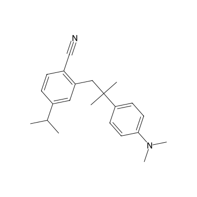 CC(C)c1ccc(C#N)c(CC(C)(C)c2ccc(N(C)C)cc2)c1